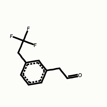 O=CCc1cccc(CC(F)(F)F)c1